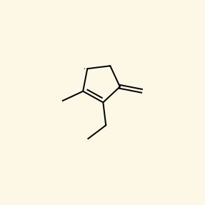 C=C1C[CH]C(C)=C1CC